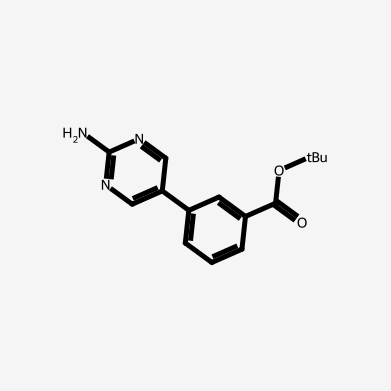 CC(C)(C)OC(=O)c1cccc(-c2cnc(N)nc2)c1